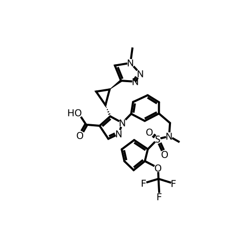 CN(Cc1cccc(-n2ncc(C(=O)O)c2[C@@H]2C[C@H]2c2cn(C)nn2)c1)S(=O)(=O)c1ccccc1OC(F)(F)F